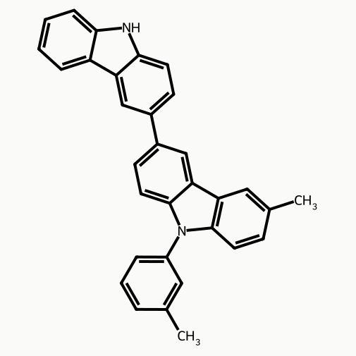 Cc1cccc(-n2c3ccc(C)cc3c3cc(-c4ccc5[nH]c6ccccc6c5c4)ccc32)c1